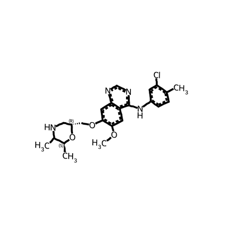 COc1cc2c(Nc3ccc(C)c(Cl)c3)ncnc2cc1OC[C@H]1CNC(C)[C@H](C)O1